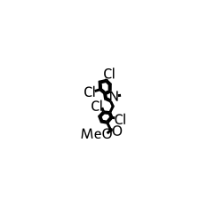 COC(=O)c1ccc(Cl)c(Cc2cc3c(Cl)cc(Cl)cc3n2C)c1Cl